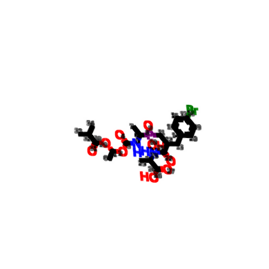 CC(OC(=O)NC(C)P(=O)(O)CC(Cc1ccc(Br)cc1)C(=O)NC(C)C(=O)O)OC(=O)C(C)C